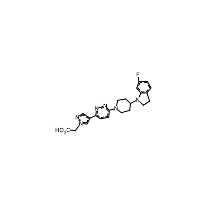 O=C(O)Cn1cc(-c2ccc(N3CCC(N4CCc5ccc(F)cc54)CC3)nn2)cn1